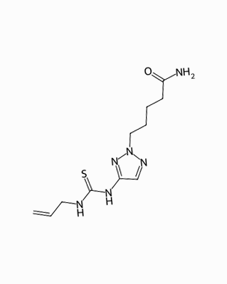 C=CCNC(=S)Nc1cnn(CCCCC(N)=O)n1